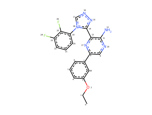 CCOc1cccc(-c2cnc(N)c(-c3nncn3-c3cccc(F)c3F)n2)c1